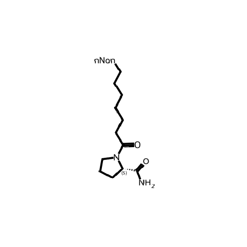 CCCCCCCCCCCCCCCC(=O)N1CCC[C@H]1C(N)=O